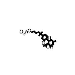 CC1=CC[C@@]2(O)[C@H](C1)c1ccc(C(C)(C)CCCCO[N+](=O)[O-])cc1OC2(C)C